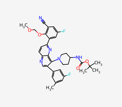 COCOc1c(C#N)cc(F)cc1-c1ccc2ncc(-c3cc(C)cc(F)c3)c(N3CCC(NC(=O)OC(C)(C)C)CC3)c2n1